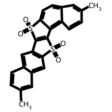 Cc1ccc2cc3c(cc2c1)S(=O)(=O)C1=C3S(=O)(=O)c2ccc3cc(C)ccc3c21